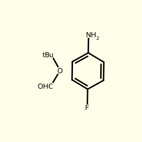 CC(C)(C)OC=O.Nc1ccc(F)cc1